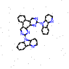 c1ccc2c(c1)c1cnc(-n3c4ccccc4c4ncccc43)nc1c1nc(-n3c4ccccc4c4ncccc43)ncc21